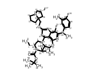 CC[C@@H]1CN2c3nc(OCC45CCCN4C[C@H](F)C5)nc4c(F)c(N(C)c5ccc(F)c(N)c5)nc(c34)O[C@@H](C)[C@]23C[C@@H]3N1C(=O)OC(C)(C)C